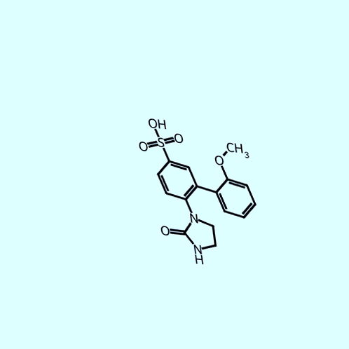 COc1ccccc1-c1cc(S(=O)(=O)O)ccc1N1CCNC1=O